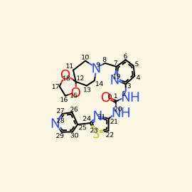 O=C(Nc1cccc(CN2CCC3(CC2)OCCO3)n1)Nc1csc(-c2ccncc2)n1